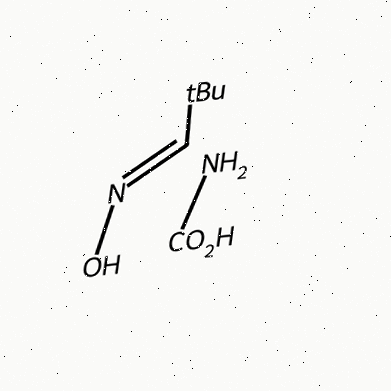 CC(C)(C)/C=N/O.NC(=O)O